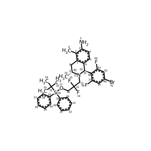 Cc1c(N)ccc2c1C[C@@H](C)N(CC(F)(F)CO[Si](c1ccccc1)(c1ccccc1)C(C)(C)C)[C@@H]2c1c(F)cc(Br)cc1F